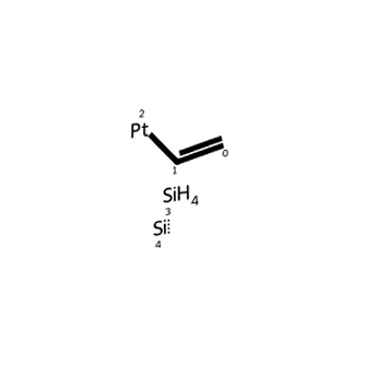 C=[CH][Pt].[SiH4].[Si]